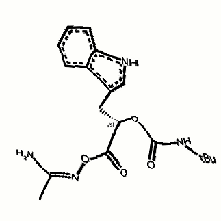 CC(N)=NOC(=O)[C@H](Cc1c[nH]c2ccccc12)OC(=O)NC(C)(C)C